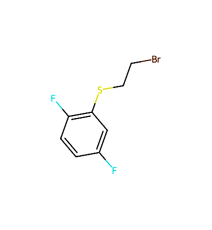 Fc1ccc(F)c(SCCBr)c1